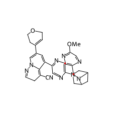 COc1cnc(CN2C3CC2CN(c2cnc(C4=CC(C5=CCOCC5)=CN5N=CCC(C#N)=C45)cn2)C3)cn1